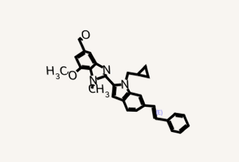 COc1cc(C=O)cc2nc(-c3cc4ccc(/C=C/c5ccccc5)cc4n3CC3CC3)n(C)c12